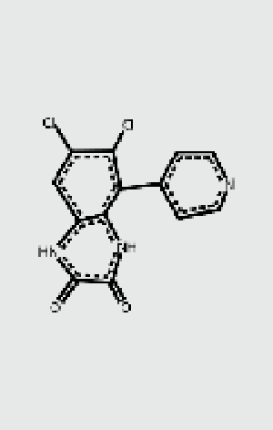 O=c1[nH]c2cc(Cl)c(Cl)c(-c3ccncc3)c2[nH]c1=O